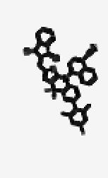 Cc1cc(C)c(-c2ccc3c(c2)C(C)(C)c2cc(C=C4C(=O)c5ccccc5C4=O)sc2N3c2ccc(C#N)c3ccccc23)c(C)c1